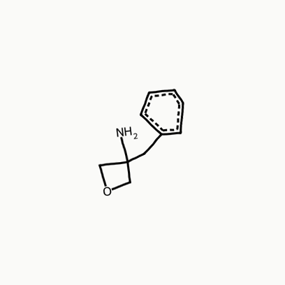 NC1(Cc2ccccc2)COC1